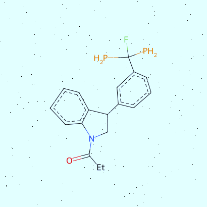 CCC(=O)N1CC(c2cccc(C(F)(P)P)c2)c2ccccc21